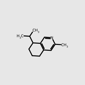 Cc1cc2c(cn1)C(C(C)C)CCC2